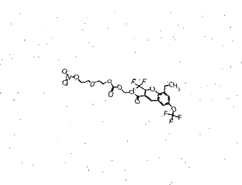 CCc1cc(OC(F)(F)F)cc2c1OC(C(F)(F)F)C(C(=O)OCOC(=O)OCCOCCO[N+](=O)[O-])=C2